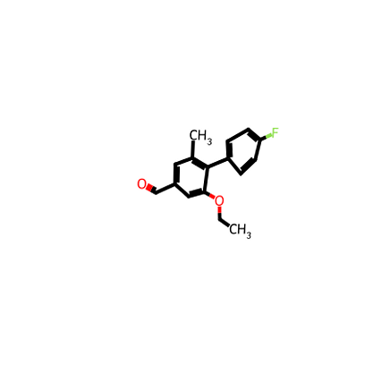 CCOc1cc(C=O)cc(C)c1-c1ccc(F)cc1